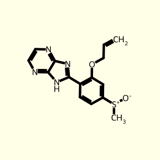 C=CCOc1cc([S+](C)[O-])ccc1-c1nc2nccnc2[nH]1